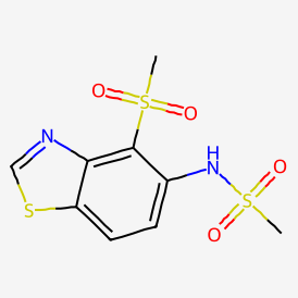 CS(=O)(=O)Nc1ccc2scnc2c1S(C)(=O)=O